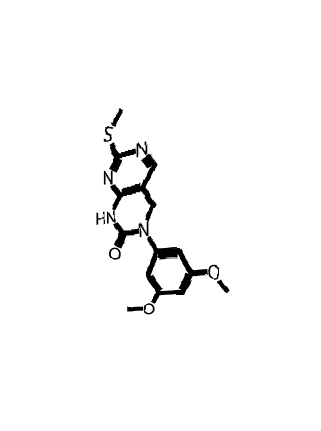 COc1cc(OC)cc(N2Cc3cnc(SC)nc3NC2=O)c1